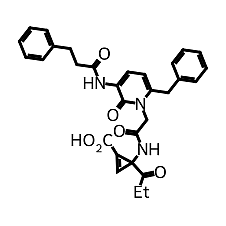 CCC(=O)C1(NC(=O)Cn2c(Cc3ccccc3)ccc(NC(=O)CCc3ccccc3)c2=O)C=C1C(=O)O